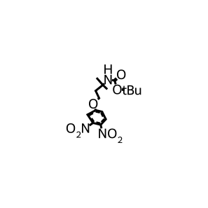 CC(C)(CCOc1ccc([N+](=O)[O-])c([N+](=O)[O-])c1)NC(=O)OC(C)(C)C